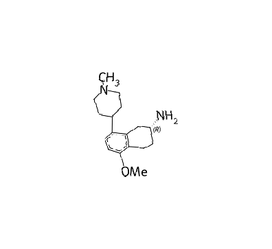 COc1ccc(C2CCN(C)CC2)c2c1CC[C@@H](N)C2